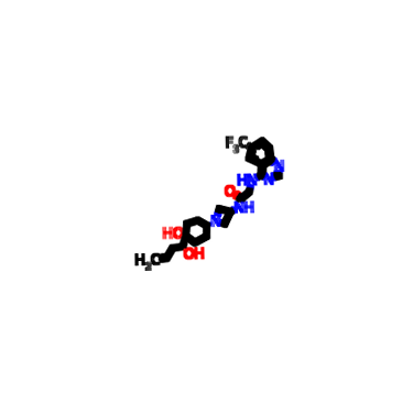 C=CCC(O)[C@]1(O)CC[C@H](N2CC(NC(=O)CNc3ncnc4ccc(C(F)(F)F)cc34)C2)CC1